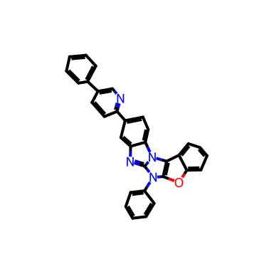 c1ccc(-c2ccc(-c3ccc4c(c3)nc3n(-c5ccccc5)c5oc6ccccc6c5n43)nc2)cc1